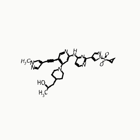 CC(O)CC1CCN(c2cc(Nc3ccnc(-c4cnn(S(=O)(=O)C5CC5)c4)n3)ncc2C#Cc2cnn(C)c2)CC1